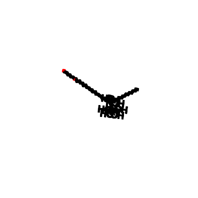 CCCCCCCCCCCCCCCCCC/C=C/CCCCCCCCC(=O)N[C@@H](CC[C@H]1OC(CO)[C@H](O)[C@H](O)C1O)[C@H](O)[C@H](O)CCCCCCCCCCCCCC